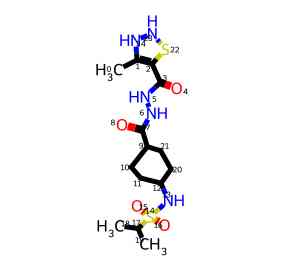 CC1=C(C(=O)NNC(=O)C2CCC(NS(=O)(=O)C(C)C)CC2)SNN1